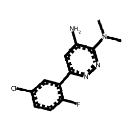 CN(C)c1nnc(-c2cc(Cl)ccc2F)cc1N